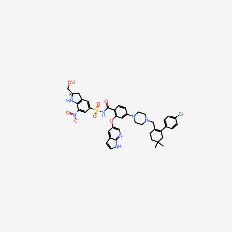 CC1(C)CCC(CN2CCN(c3ccc(C(=O)NS(=O)(=O)c4cc5c(c([N+](=O)[O-])c4)N[C@@H](CO)C5)c(Oc4cnc5[nH]ccc5c4)c3)CC2)=C(c2ccc(Cl)cc2)C1